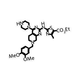 CCOC(=O)c1sc(Nc2nc3c(c(N4CCNCC4)n2)CCN(Cc2ccc(OC)c(OC)c2)C3)nc1C